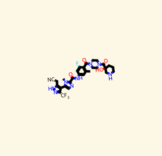 Cc1cc(NC(=O)c2ncc(-c3c(C(F)(F)F)n[nH]c3CC#N)n2C)cc(F)c1C(=O)N1CCN(C(=O)C2(O)CCCNC2)CC1